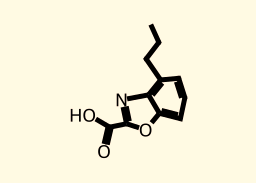 CCCc1cccc2oc(C(=O)O)nc12